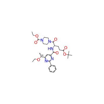 CCOC(=O)N1CCN(C(=O)C(CCC(=O)OC(C)(C)C)NC(=O)c2cc([C@H](C)OCC)nc(-c3ccccc3)n2)CC1